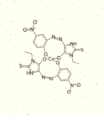 CCn1c2c([nH]c1=S)N=Nc1cc([N+](=O)[O-])ccc1[O][Co]1([O]c3ccc([N+](=O)[O-])cc3N=Nc3[nH]c(=S)n(CC)c3[O]1)[O]2